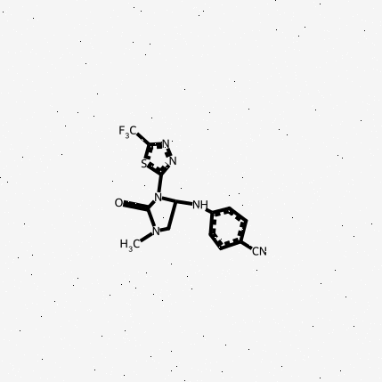 CN1CC(Nc2ccc(C#N)cc2)N(c2nnc(C(F)(F)F)s2)C1=O